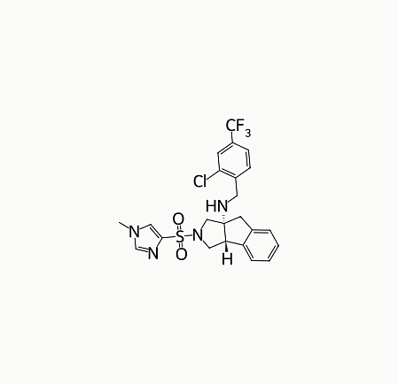 Cn1cnc(S(=O)(=O)N2C[C@H]3c4ccccc4C[C@]3(NCc3ccc(C(F)(F)F)cc3Cl)C2)c1